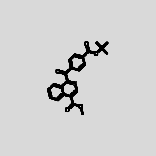 COC(=O)c1cnc(C(=O)c2ccc(C(=O)OC(C)(C)C)cc2)c2ccccc12